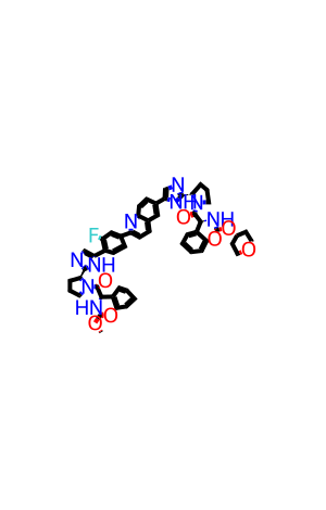 COC(=O)N[C@@H](C(=O)N1CCC[C@H]1c1ncc(-c2ccc(-c3ccc4cc(-c5cnc([C@@H]6CCCN6C(=O)[C@H](NC(=O)OC6CCOCC6)c6ccccc6)[nH]5)ccc4n3)cc2F)[nH]1)c1ccccc1